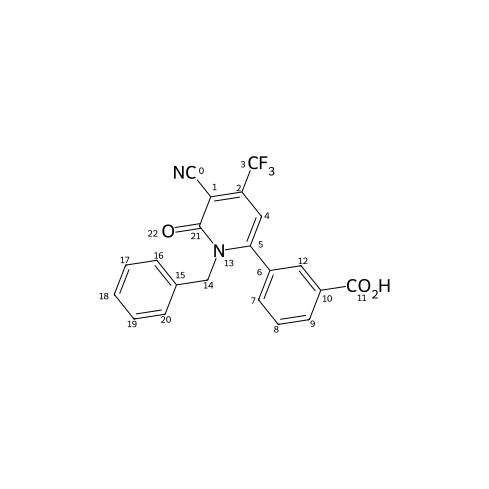 N#Cc1c(C(F)(F)F)cc(-c2cccc(C(=O)O)c2)n(Cc2ccccc2)c1=O